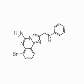 Nc1nc2c(Br)cccc2c2nc(CNc3ccccc3)cn12